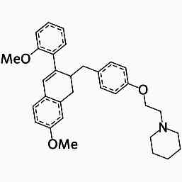 COc1ccc2c(c1)CC(Cc1ccc(OCCN3CCCCC3)cc1)C(c1ccccc1OC)=C2